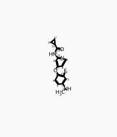 CNc1ccc(Oc2ccnc(NC(=O)C3CC3)c2)c(F)c1